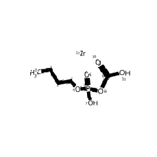 CCCCOP(=O)(O)OC(=O)O.[Zr]